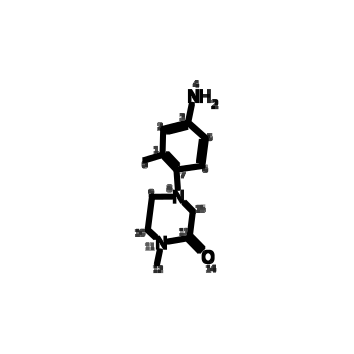 Cc1cc(N)ccc1N1CCN(C)C(=O)C1